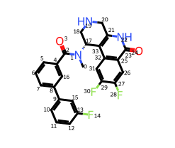 CN(C(=O)c1cccc(-c2cccc(F)c2)c1)[C@@H]1CNCc2[nH]c(=O)c3cc(F)c(F)cc3c21